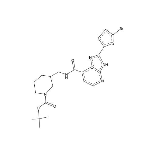 CC(C)(C)OC(=O)N1CCCC(CNC(=O)c2ccnc3[nH]c(-c4ccc(Br)s4)nc23)C1